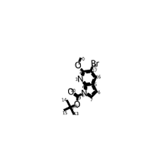 COc1nc2c(ccn2C(=O)OC(C)(C)C)cc1Br